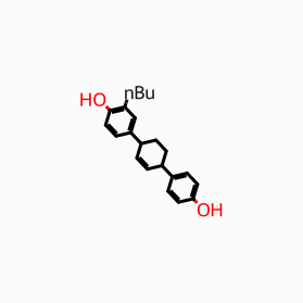 CCCCc1cc(C2C=CC(c3ccc(O)cc3)CC2)ccc1O